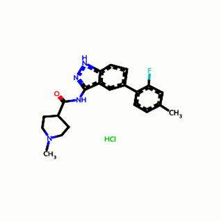 Cc1ccc(-c2ccc3[nH]nc(NC(=O)C4CCN(C)CC4)c3c2)c(F)c1.Cl